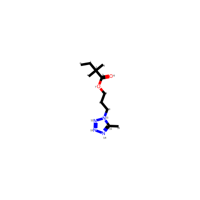 CCC(C)(C)C(=O)OCCCn1nnnc1C